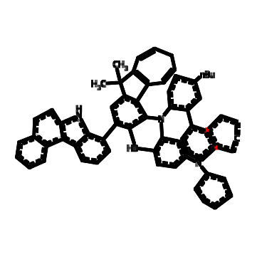 CCCCc1ccc(N2c3cc(N(c4ccccc4)c4ccccc4)ccc3Bc3c(-c4cccc5c4[nH]c4ccc6ccccc6c45)cc4c(c32)C2=C(C=CCC=C2)C4(C)C)c(-c2ccccc2)c1